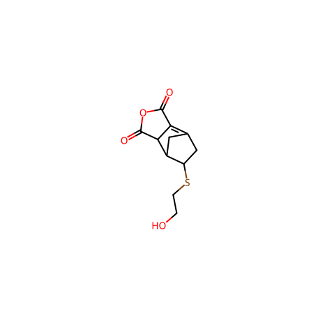 O=C1OC(=O)C2C1=C1CC(SCCO)C2C1